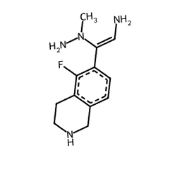 CN(N)/C(=C\N)c1ccc2c(c1F)CCNC2